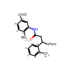 CCCCCC(CC(=O)Nc1cc(C=O)ccc1C(C)(C)C)c1ccccc1C(F)(F)F